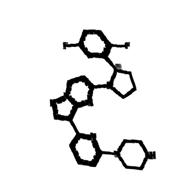 Fc1ccc(F)c([C@H]2CCCN2c2ccn3ncc(-c4cccc(N5CCNCC5)n4)c3n2)c1